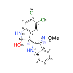 CO/N=C1/C(=C2\c3cc(Cl)c(Cl)cc3NC2O)Nc2ccccc21